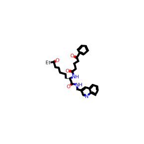 CCC(=O)CCCCC[C@H](NC(=O)CCCC(=O)c1ccccc1)C(=O)NCc1cnc2ccccc2c1